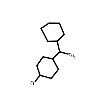 CCC1CCC(C(C)C2CCCCC2)CC1